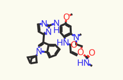 C=CC(=O)Nc1cc(Nc2nccc(-c3cn(C45CC(C4)C5)c4ccccc34)n2)c(OC)cc1N(C)CCOC(=O)NC